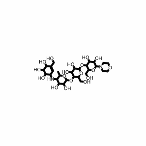 CC1OC(OC2C(CO)OC(OC3C(CO)OC(N4CCOCC4)C(O)C3O)C(O)C2O)C(O)C(O)C1NC1C=C(CO)C(O)C(O)C1O